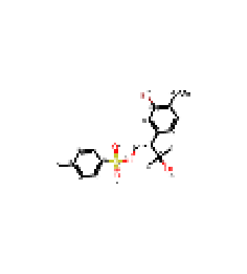 COc1ccc([C@@H](COS(=O)(=O)c2ccc(C)cc2)C(C)(C)O)cc1Br